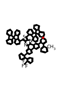 Cc1ccccc1-c1ccccc1-c1ccc2c3ccc(-c4ccccc4-c4ccccc4C(F)(F)F)cc3c3nc4c(-c5cccc6c5-c5ccccc5C65c6ccccc6-c6ccccc65)sc(-c5cccc6c5-c5ccccc5C65c6ccccc6-c6ccccc65)c4nc3c2c1